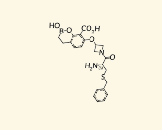 N[C@H](CSCc1ccccc1)C(=O)N1CC(Oc2ccc3c(c2C(=O)O)OB(O)CC3)C1